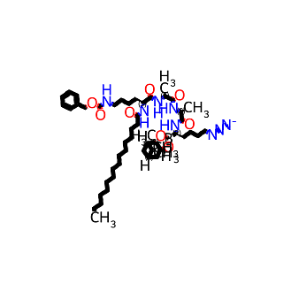 CCCCCCCCCCCCCCCC(=O)N[C@@H](CCCCNC(=O)OCc1ccccc1)C(=O)N[C@@H](C)C(=O)N[C@@H](C)C(=O)N[C@@H](CCCCN=[N+]=[N-])B1O[C@@H]2C[C@@H]3C[C@@H](C3(C)C)[C@]2(C)O1